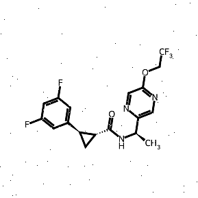 C[C@@H](NC(=O)[C@@H]1C[C@H]1c1cc(F)cc(F)c1)c1cnc(OCC(F)(F)F)cn1